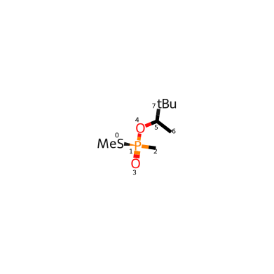 CS[P@@](C)(=O)OC(C)C(C)(C)C